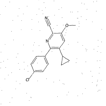 COc1cc(C2CC2)c(-c2ccc(Cl)cc2)nc1C#N